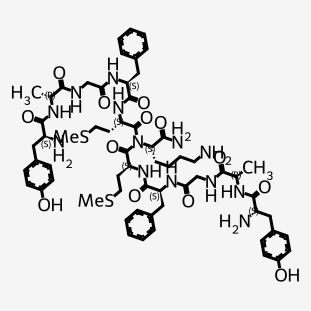 CSCC[C@H](NC(=O)[C@H](Cc1ccccc1)NC(=O)CNC(=O)[C@@H](C)NC(=O)[C@@H](N)Cc1ccc(O)cc1)C(=O)N(C(=O)[C@H](CCSC)NC(=O)[C@H](Cc1ccccc1)NC(=O)CNC(=O)[C@@H](C)NC(=O)[C@@H](N)Cc1ccc(O)cc1)[C@@H](CCCCN)C(N)=O